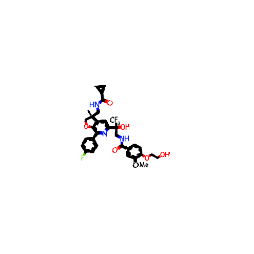 COc1cc(C(=O)NCC(O)(c2cc3c(c(-c4ccc(F)cc4)n2)OC[C@]3(C)CNC(=O)C2CC2)C(F)(F)F)ccc1OCCO